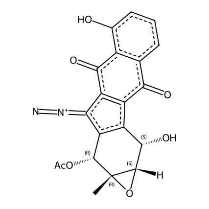 CC(=O)O[C@@H]1c2c(c3c(=O)c4cccc(O)c4c(=O)c=3c2=[N+]=[N-])[C@H](O)[C@@H]2O[C@]12C